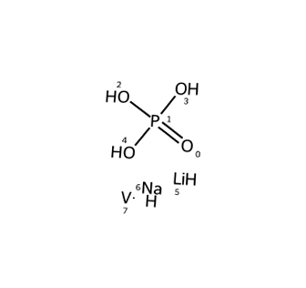 O=P(O)(O)O.[LiH].[NaH].[V]